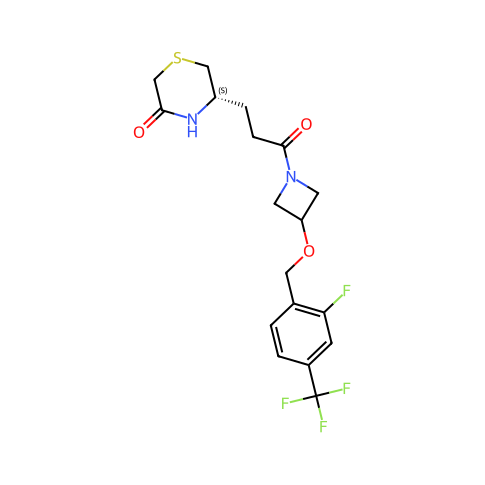 O=C1CSC[C@H](CCC(=O)N2CC(OCc3ccc(C(F)(F)F)cc3F)C2)N1